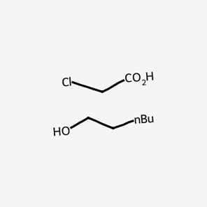 CCCCCCO.O=C(O)CCl